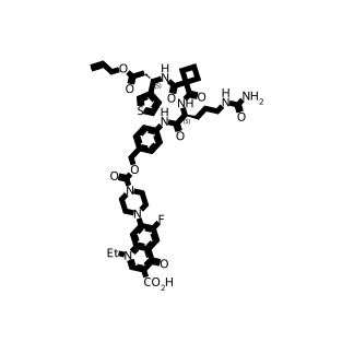 C=CCOC(=O)C[C@H](NC(=O)C1(C(=O)N[C@@H](CCCNC(N)=O)C(=O)Nc2ccc(COC(=O)N3CCN(c4cc5c(cc4F)c(=O)c(C(=O)O)cn5CC)CC3)cc2)CCC1)c1ccsc1